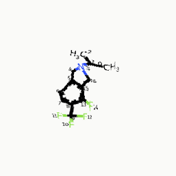 CC(C)N1Cc2ccc(C(F)(F)F)c(F)c2C1